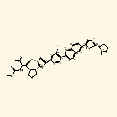 COC(=O)N[C@H](C(=O)N1CCC[C@H]1c1ncc(-c2ccc(-c3ccc4cc(-c5cnc([C@@H]6CCCN6)[nH]5)ccc4n3)c(F)c2)[nH]1)C(C)C